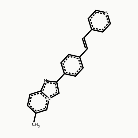 Cc1ccc2nc(-c3ccc(/C=C/c4ccncc4)cc3)cn2c1